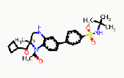 CC(=O)N1c2ccc(-c3ccc(S(=O)(=O)NC(C)(C)C)cc3)cc2NC[C@@]1(C)C(=O)C1CCC1